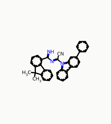 CC1(C)c2ccccc2-c2c(C(=N)/N=C(\C#N)n3c4ccccc4c4ccc(-c5ccccc5)cc43)cccc21